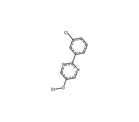 CCOc1cnc(-c2cccc(Cl)c2)nc1